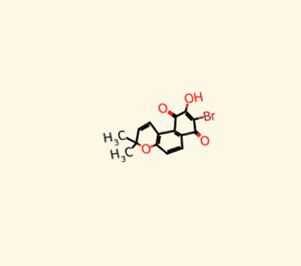 CC1(C)C=Cc2c(ccc3c2C(=O)C(O)=C(Br)C3=O)O1